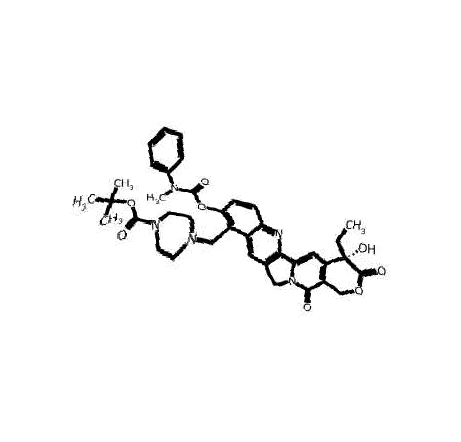 CC[C@@]1(O)C(=O)OCc2c1cc1n(c2=O)Cc2cc3c(CN4CCN(C(=O)OC(C)(C)C)CC4)c(OC(=O)N(C)c4ccccc4)ccc3nc2-1